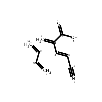 C=C(C=CC#N)C(=O)O.C=CC=C